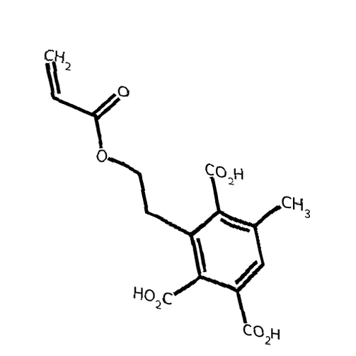 C=CC(=O)OCCc1c(C(=O)O)c(C)cc(C(=O)O)c1C(=O)O